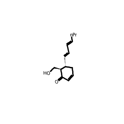 CCC/C=C/C=C/[C@@H]1CC=CC(=O)[C@H]1CO